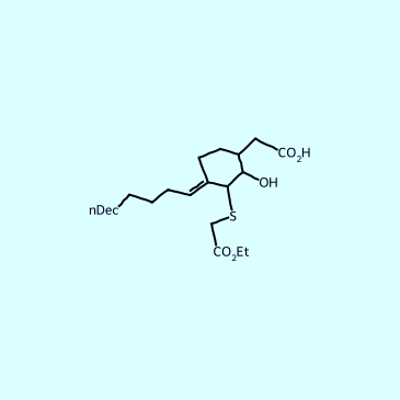 CCCCCCCCCCCCCC=C1CCC(CC(=O)O)C(O)C1SCC(=O)OCC